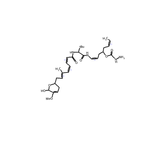 C/C=C\CC(C/C=C\NC(=O)C(NC(=O)\C=C/C=C\C(C)=C\CC1CC=C(OC)C(O)O1)C(C)(C)C)OC(=O)NN